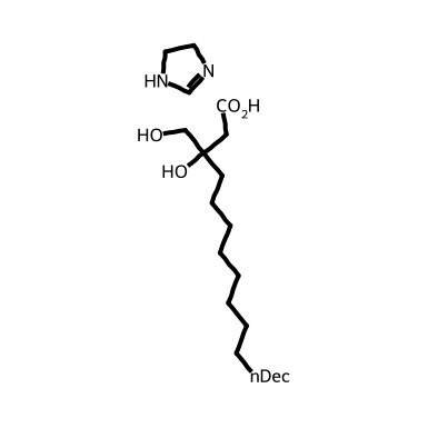 C1=NCCN1.CCCCCCCCCCCCCCCCCCC(O)(CO)CC(=O)O